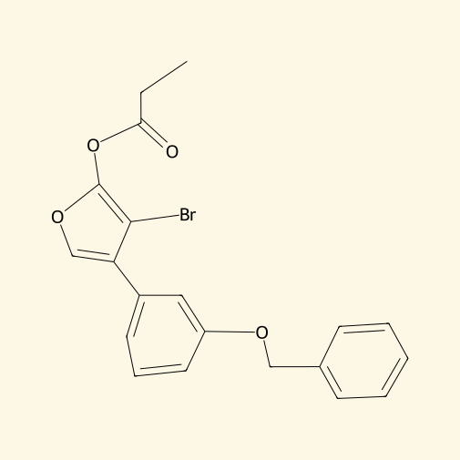 CCC(=O)Oc1occ(-c2cccc(OCc3ccccc3)c2)c1Br